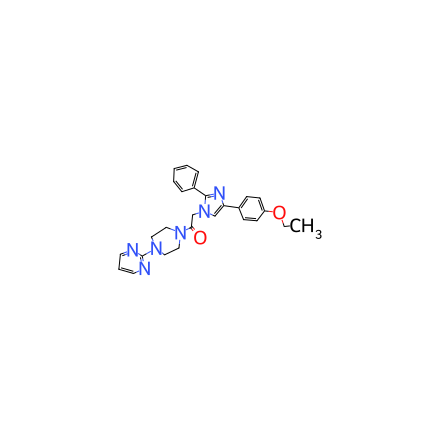 CCOc1ccc(-c2cn(CC(=O)N3CCN(c4ncccn4)CC3)c(-c3ccccc3)n2)cc1